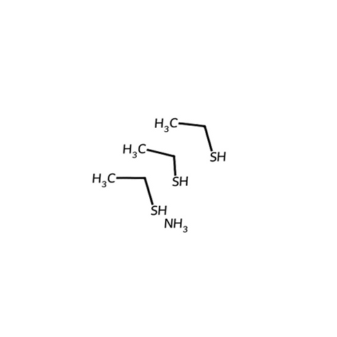 CCS.CCS.CCS.N